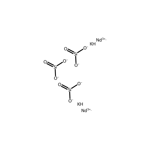 O=[Si]([O-])[O-].O=[Si]([O-])[O-].O=[Si]([O-])[O-].[KH].[KH].[Nd+3].[Nd+3]